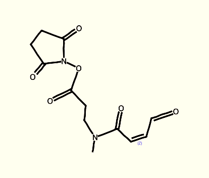 CN(CCC(=O)ON1C(=O)CCC1=O)C(=O)/C=C\C=O